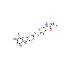 CC(=O)NC1CCC(CCN2CCC(Oc3cc(F)c(F)cc3F)CC2)CC1